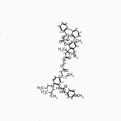 CCCN(CC(C)C)c1ccc([C@@H](CC)CC(=O)OCOC(=O)CC(C)(C)c2c(C)cc(C)cc2OP(=O)(OCc2ccccc2)OCc2ccccc2)cc1NC(=O)Nc1ccc(C)cc1